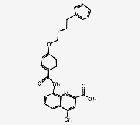 O=C(Nc1cccc2c(O)cc(C(=O)O)nc12)c1ccc(OCCCCc2ccccc2)cc1